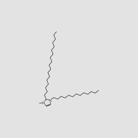 CCCCCCCCCCCCCCCCCCC1N(C)C=CN1CCCCCCCCCCCCC